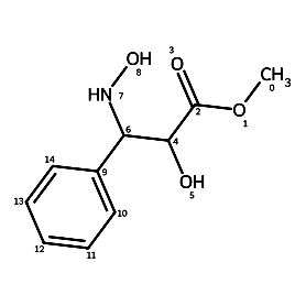 COC(=O)C(O)C(NO)c1ccccc1